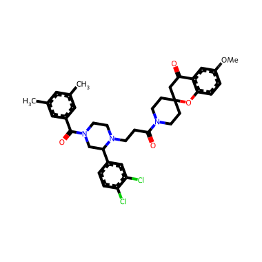 COc1ccc2c(c1)C(=O)CC1(CCN(C(=O)CCN3CCN(C(=O)c4cc(C)cc(C)c4)CC3c3ccc(Cl)c(Cl)c3)CC1)O2